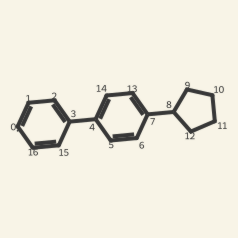 [c]1ccc(-c2ccc(C3CCCC3)cc2)cc1